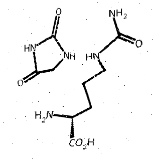 NC(=O)NCCC[C@H](N)C(=O)O.O=C1CNC(=O)N1